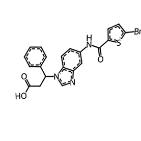 O=C(O)CC(c1ccccc1)n1cnc2cc(NC(=O)c3ccc(Br)s3)ccc21